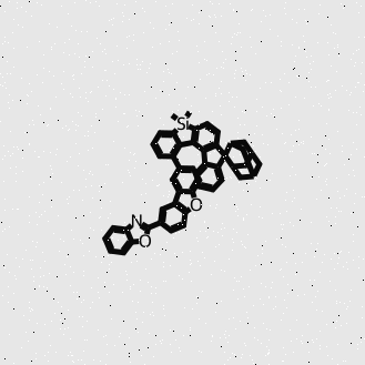 C[Si]1(C)c2cccc(-c3ccc4oc5ccc(-c6nc7ccccc7o6)cc5c4c3)c2-c2c1ccc1c2-c2ccccc2C12C1CC3CC(C1)CC2C3